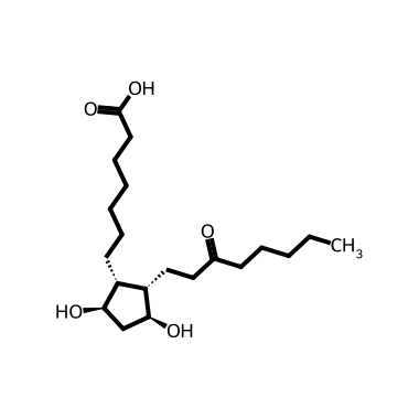 CCCCCC(=O)CC[C@H]1[C@@H](CCCCCCC(=O)O)[C@H](O)C[C@@H]1O